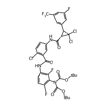 CC(C)(C)OC(=O)N(C(=O)OC(C)(C)C)c1c(F)ccc(NC(=O)c2cc(NC(=O)[C@H]3C(c4cc(F)cc(C(F)(F)F)c4)C3(Cl)Cl)ccc2Cl)c1F